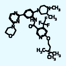 C[C@H]1CN(c2ccc(-c3nccc(N4CCOCC4)n3)cc2NC(=O)c2cnc(OCCS(C)(C)C)cc2C(F)(F)F)CCN1C